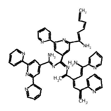 C=C/C=C\C=C(/N)c1cc(C(/N=C(\N)c2cc(-c3ccccn3)nc(-c3ccccn3)c2)=N/C(=C)C(/C=C(\N)c2ccccn2)=C/C(=C)c2ccccn2)cc(-c2ccccn2)n1